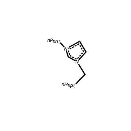 CCCCCCCCn1cc[n+](CCCCC)c1